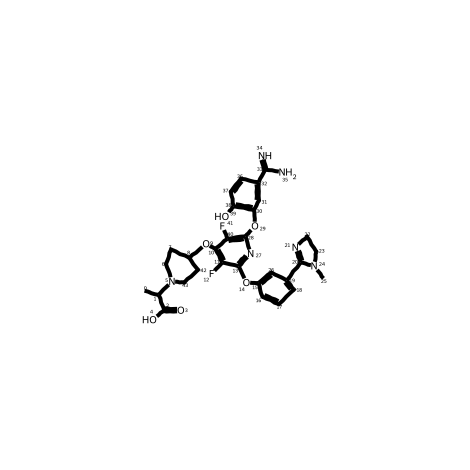 CC(C(=O)O)N1CCC(Oc2c(F)c(Oc3cccc(C4=NCCN4C)c3)nc(Oc3cc(C(=N)N)ccc3O)c2F)CC1